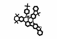 CC(C)(C)c1ccc(Nc2cc3c(cc2-c2ccc4c5cc6c(cc5n5c4c2Bc2cc4c(cc2-5)C(C)(C)c2ccccc2-4)oc2ccccc26)C(C)(C)CCC3(C)C)cc1